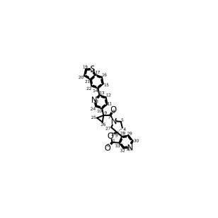 O=C1O[C@]2(CCN(C(=O)C3(c4ccc(-c5ccc6sccc6c5)nc4)CC3)C2)c2ccncc21